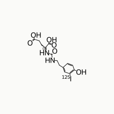 O=C(O)CC[C@H](NC(=O)NCCc1ccc(O)c([125I])c1)C(=O)O